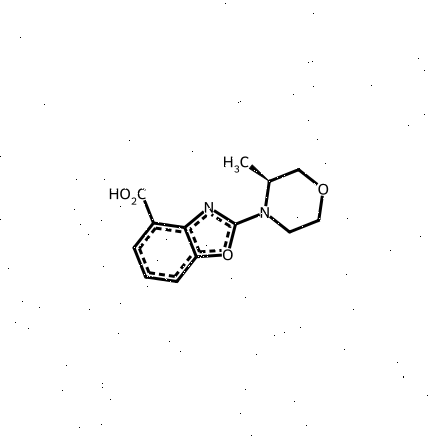 C[C@H]1COCCN1c1nc2c(C(=O)O)cccc2o1